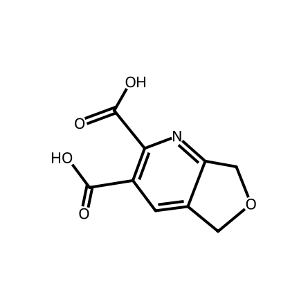 O=C(O)c1cc2c(nc1C(=O)O)COC2